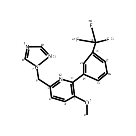 COc1ccc(Cn2cncn2)nc1-c1cccc(C(F)(F)F)c1